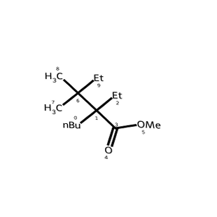 CCCCC(CC)(C(=O)OC)C(C)(C)CC